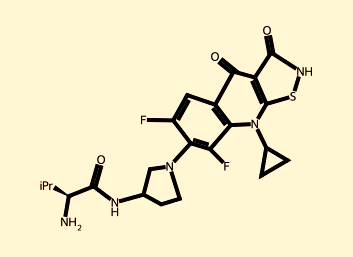 CC(C)[C@H](N)C(=O)NC1CCN(c2c(F)cc3c(=O)c4c(=O)[nH]sc4n(C4CC4)c3c2F)C1